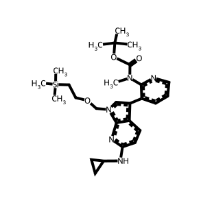 CN(C(=O)OC(C)(C)C)c1ncccc1-c1cn(COCC[Si](C)(C)C)c2nc(NC3CC3)ccc12